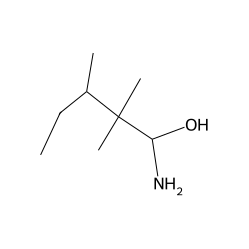 CCC(C)C(C)(C)C(N)O